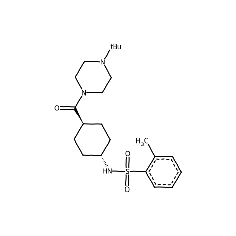 Cc1ccccc1S(=O)(=O)N[C@H]1CC[C@H](C(=O)N2CCN(C(C)(C)C)CC2)CC1